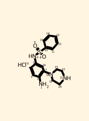 Cl.Nc1ccc(NS(=O)(=O)c2ccccc2)cc1N1CCNCC1